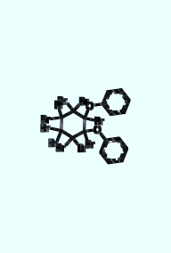 BrC1(Br)C(Br)(Br)C(Br)(Br)C(Br)(Oc2ccccc2)C(Br)(Oc2ccccc2)C1(Br)Br